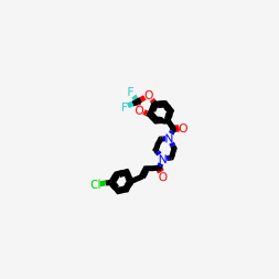 O=C(/C=C/c1ccc(Cl)cc1)N1CCN(C(=O)c2ccc3c(c2)OC(F)(F)O3)CC1